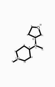 CN1CCC(N(C)[C@H]2CCOC2)CC1